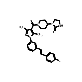 Cc1nn(-c2cccc(/C=C/c3ccc(Cl)cc3)c2)c(C)c1C(=O)N1CCC(N2CCNC2=O)CC1